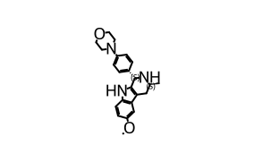 COc1ccc2[nH]c3c(c2c1)C[C@H](C)N[C@H]3c1ccc(N2CCOCC2)cc1